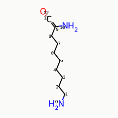 NCCCCCCCCC(N)=C=O